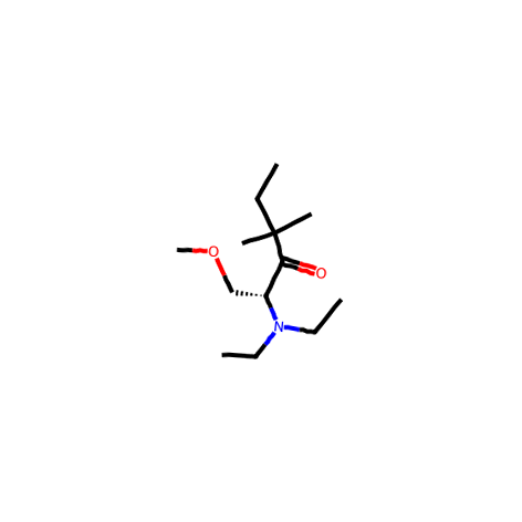 CCN(CC)[C@H](COC)C(=O)C(C)(C)CC